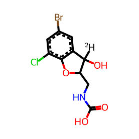 [2H]C1(O)c2cc(Br)cc(Cl)c2OC1CNC(=O)O